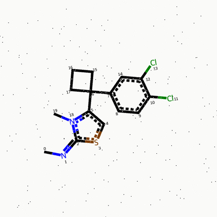 C/N=c1/scc(C2(c3ccc(Cl)c(Cl)c3)CCC2)n1C